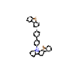 c1ccc2c(c1)sc1ccc(-c3ccc(-c4ccc(-n5c6ccccc6c6ccc7c8ccccc8sc7c65)cc4)cc3)cc12